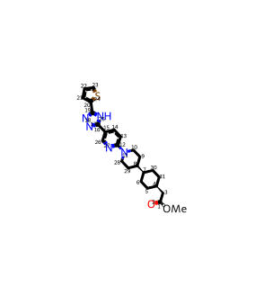 COC(=O)C[C@H]1CC[C@@H](C2CCN(c3ccc(-c4nnc(-c5cccs5)[nH]4)cn3)CC2)CC1